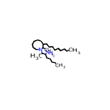 CCCCCCCCCC1CCCCCCN(C(C)C(N)CCCCC)C1C